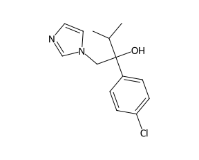 CC(C)C(O)(Cn1ccnc1)c1ccc(Cl)cc1